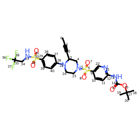 CC#CC1CN(S(=O)(=O)c2ccc(NC(=O)OC(C)(C)C)nc2)CCN1c1ccc(S(=O)(=O)NCC(F)(F)F)cc1